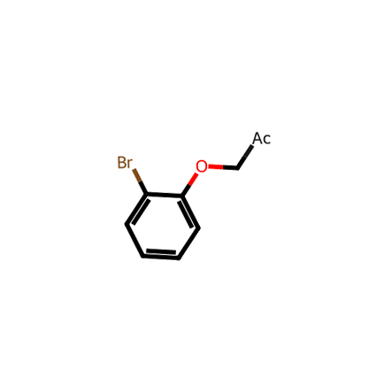 CC(=O)COc1ccccc1Br